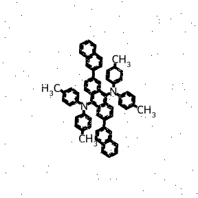 Cc1ccc(N(C2=CCC(C)C=C2)c2c3cc(-c4ccc5ccccc5c4)ccc3c(N(c3ccc(C)cc3)c3ccc(C)cc3)c3cc(-c4ccc5ccccc5c4)ccc23)cc1